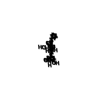 CCC(COCCc1ccccc1)S(=O)(=O)NNCCc1ccc(O)c2[nH]c(=O)sc12.Cl